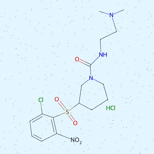 CN(C)CCNC(=O)N1CCCC(S(=O)(=O)c2c(Cl)cccc2[N+](=O)[O-])C1.Cl